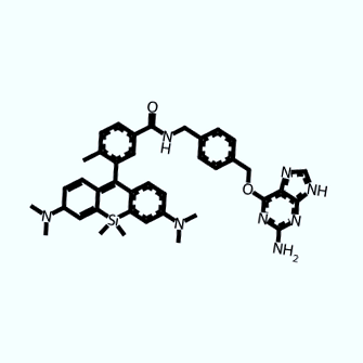 Cc1ccc(C(=O)NCc2ccc(COc3nc(N)nc4[nH]cnc34)cc2)cc1C1=C2C=CC(N(C)C)C=C2[Si](C)(C)c2cc(N(C)C)ccc21